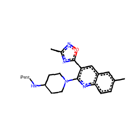 CCCC(C)NC1CCN(c2nc3ccc(C)cc3cc2-c2nc(C)no2)CC1